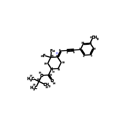 Cc1cccc(C#C/C=C2\CCN(C(=O)OC(C)(C)C)CC2(F)F)c1